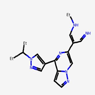 CCN/C=C(\C=N)c1cn2nccc2c(-c2cnn(C(CC)CC)c2)n1